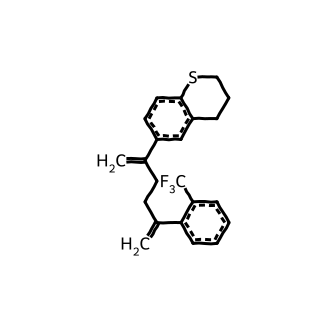 C=C(CCC(=C)c1ccccc1C(F)(F)F)c1ccc2c(c1)CCCS2